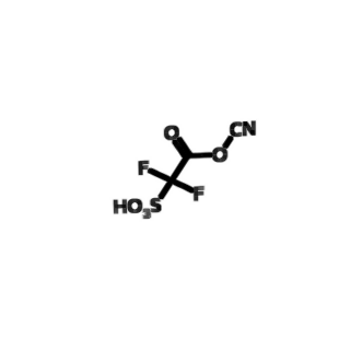 N#COC(=O)C(F)(F)S(=O)(=O)O